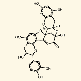 O=C1C=C2c3c(cc(O)c4c3O[C@H](c3ccc(O)c(O)c3)[C@@H](O)C4)OC23CC1(O)O[C@H]1Cc2c(O)cc(O)cc2O[C@@H]13